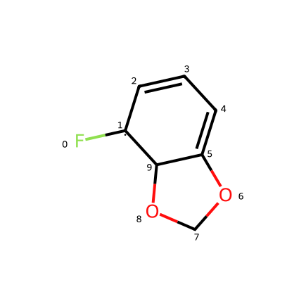 F[C]1C=CC=C2OCOC12